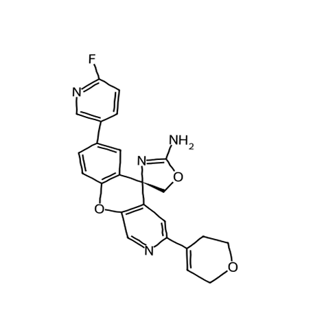 NC1=N[C@@]2(CO1)c1cc(-c3ccc(F)nc3)ccc1Oc1cnc(C3=CCOCC3)cc12